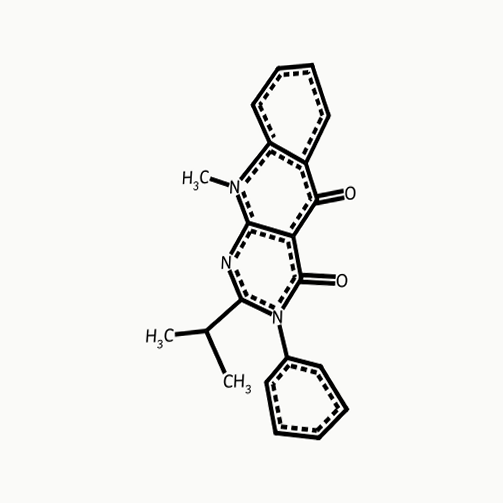 CC(C)c1nc2c(c(=O)c3ccccc3n2C)c(=O)n1-c1ccccc1